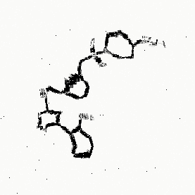 COc1ccccc1-c1cc(Nc2cccc(CS(=O)(=O)N3CCC(C(=O)O)CC3)c2)ncn1